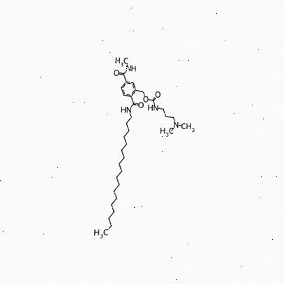 CCCCCCCCCCCCCCCCCCNC(=O)c1ccc(C(=O)NC)cc1COC(=O)NCCCN(C)C